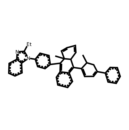 CCc1nc2ccccc2n1-c1ccc(C2=c3ccccc3=C(C3=CC=C(c4ccccc4)CC3C)C3C=CC=CC23C)cc1